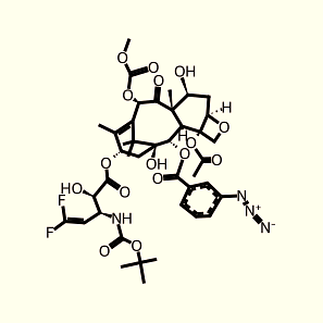 COC(=O)O[C@H]1C(=O)[C@@]2(C)[C@H]([C@H](OC(=O)c3cccc(N=[N+]=[N-])c3)[C@]3(O)C[C@H](OC(=O)[C@H](O)[C@H](C=C(F)F)NC(=O)OC(C)(C)C)C(C)=C1C3(C)C)[C@]1(OC(C)=O)CO[C@@H]1C[C@@H]2O